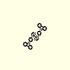 c1ccc2c(c1)c1ccccc1n2-c1ccc(-n2ccnc2-c2nccn2-c2ccc(-n3c4ccccc4c4ccccc43)cc2)cc1